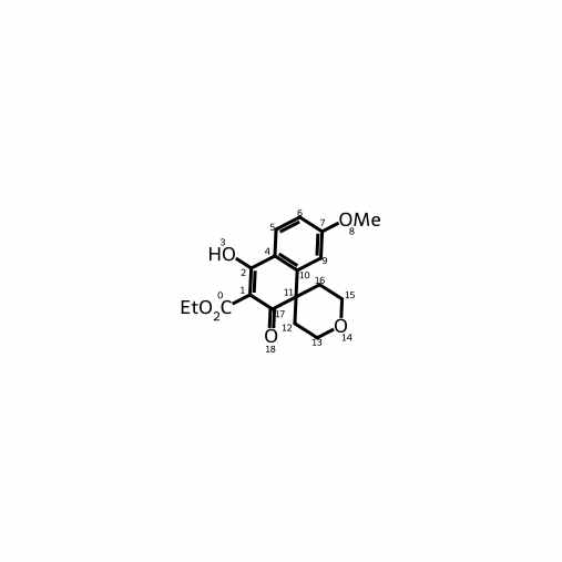 CCOC(=O)C1=C(O)c2ccc(OC)cc2C2(CCOCC2)C1=O